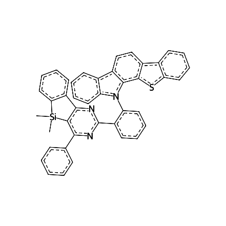 C[Si]1(C)c2ccccc2-c2nc(-c3ccccc3-n3c4ccccc4c4ccc5c6ccccc6sc5c43)nc(-c3ccccc3)c21